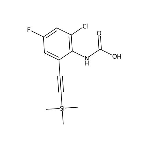 C[Si](C)(C)C#Cc1cc(F)cc(Cl)c1NC(=O)O